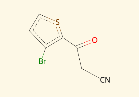 N#CCC(=O)c1sccc1Br